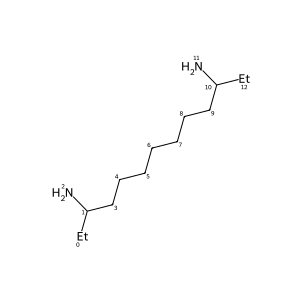 CCC(N)CCCCCCCC(N)CC